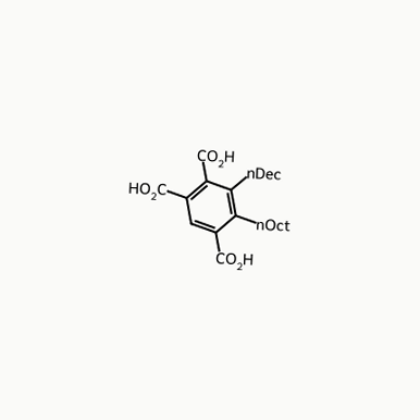 CCCCCCCCCCc1c(CCCCCCCC)c(C(=O)O)cc(C(=O)O)c1C(=O)O